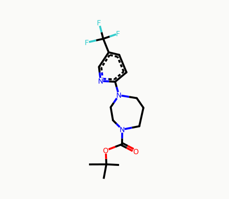 CC(C)(C)OC(=O)N1CCCN(c2ccc(C(F)(F)F)cn2)CC1